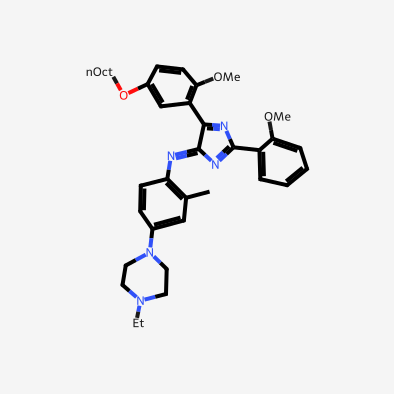 CCCCCCCCOc1ccc(OC)c(C2=NC(c3ccccc3OC)=N/C2=N\c2ccc(N3CCN(CC)CC3)cc2C)c1